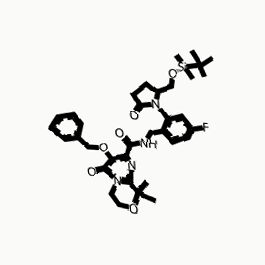 CC1(C)OCCn2c1nc(C(=O)NCc1ccc(F)cc1N1C(=O)CCC1CO[Si](C)(C)C(C)(C)C)c(OCc1ccccc1)c2=O